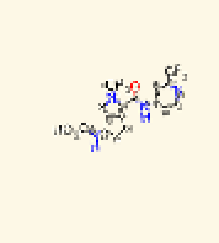 Cn1cc2c(c1C(=O)Nc1ccnc(C(F)(F)F)c1)CCC2NC(=O)O